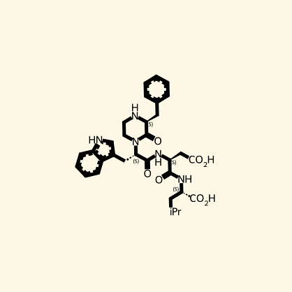 CC(C)C[C@H](NC(=O)[C@H](CC(=O)O)NC(=O)[C@H](Cc1c[nH]c2ccccc12)N1CCN[C@@H](Cc2ccccc2)C1=O)C(=O)O